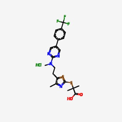 Cc1nc(SC(C)(C)C(=O)O)sc1CCN(C)c1ncc(-c2ccc(C(F)(F)F)cc2)cn1.Cl